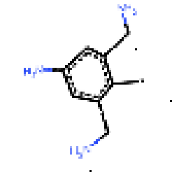 Cc1c(CN)cc(N)cc1CN